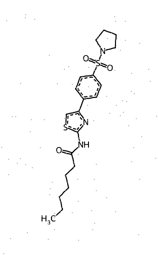 CCCCCCC(=O)Nc1nc(-c2ccc(S(=O)(=O)N3CCCC3)cc2)cs1